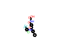 O=C(O)CCNC(=O)c1ccc(CC(C(=O)Nc2cc(C(F)(F)F)ccc2Cl)c2ccc(C3=CCCCC3)cc2)cc1